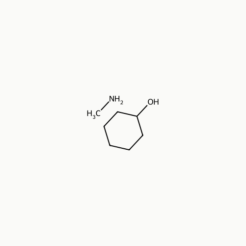 CN.OC1CCCCC1